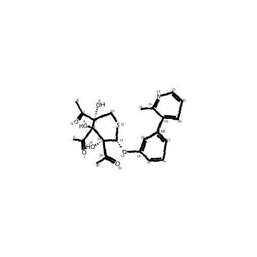 CC(=O)[C@]1(O)[C@@](O)(C(C)=O)CS[C@H](Oc2cccc(-c3cccnc3C)c2)[C@@]1(O)C(C)=O